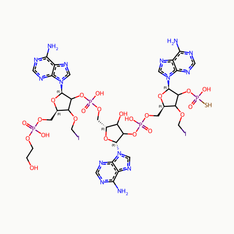 Nc1ncnc2c1ncn2[C@@H]1O[C@H](COP(=O)(O)OC2C(OCI)[C@@H](COP(=O)(O)OCCO)O[C@H]2n2cnc3c(N)ncnc32)C(O)C1OP(=O)(O)OC[C@H]1O[C@@H](n2cnc3c(N)ncnc32)C(OP(=O)(O)S)C1OCI